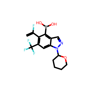 C=C(F)c1c(C(F)(F)F)cc2c(cnn2C2CCCCO2)c1B(O)O